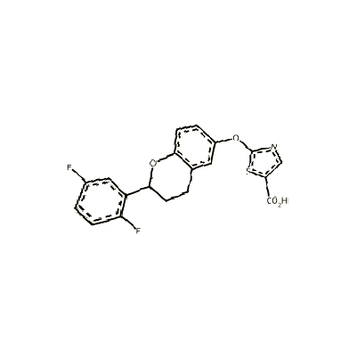 O=C(O)c1cnc(Oc2ccc3c(c2)CCC(c2cc(F)ccc2F)O3)s1